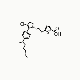 CCCCCC(C)c1ccc(C2=C(Cl)CC[C@@H]2CCCc2ccc(C(=O)O)s2)cc1